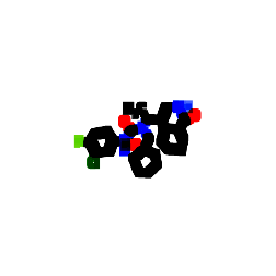 C[C@@H](c1c[nH]c(=O)c2ccccc12)N(CC1(O)CCCCC1)C(=O)Nc1ccc(F)c(Cl)c1